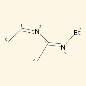 C/C=N\C(C)=N/CC